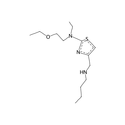 CCCCNCc1csc(N(CC)CCOCC)n1